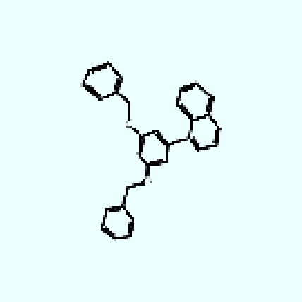 c1ccc(COc2cc(OCc3ccccc3)cc(-c3cccc4ccccc34)c2)cc1